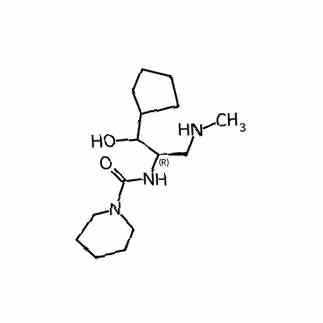 CNC[C@@H](NC(=O)N1CCCCC1)C(O)C1CCCC1